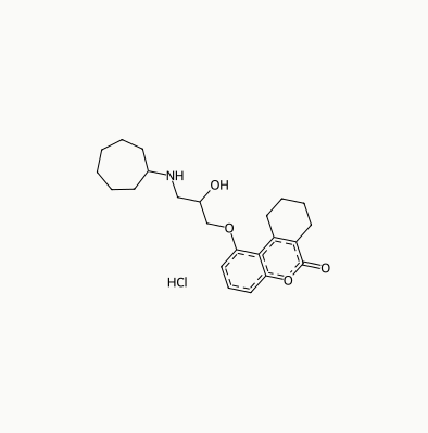 Cl.O=c1oc2cccc(OCC(O)CNC3CCCCCC3)c2c2c1CCCC2